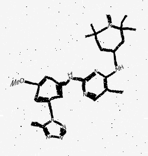 COc1cc(Nc2ncc(C)c(NC3CC(C)(C)N(C)C(C)(C)C3)n2)cc(-n2nnnc2C)c1